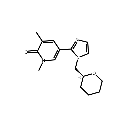 Cc1cc(-c2nccn2C[C@@H]2CCCCO2)cn(C)c1=O